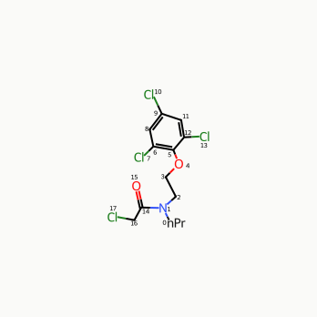 CCCN(CCOc1c(Cl)cc(Cl)cc1Cl)C(=O)CCl